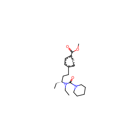 CC[C@H](CCc1ccc(C(=O)OC)cc1)N(CC)C(=O)N1CCCCC1